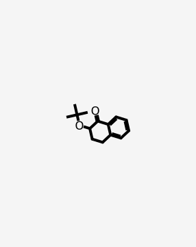 CC(C)(C)OC1CCc2ccccc2C1=O